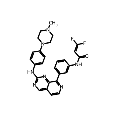 CN1CCN(c2ccc(Nc3ncc4ccnc(-c5cccc(NC(=O)C=C(F)F)c5)c4n3)cc2)CC1